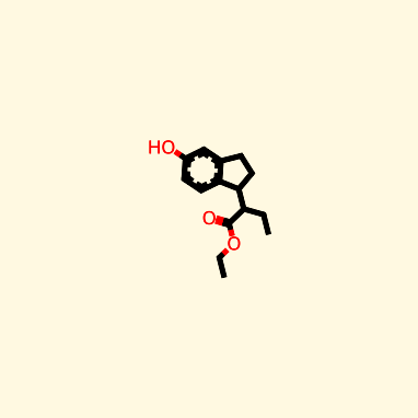 CCOC(=O)C(CC)C1CCc2cc(O)ccc21